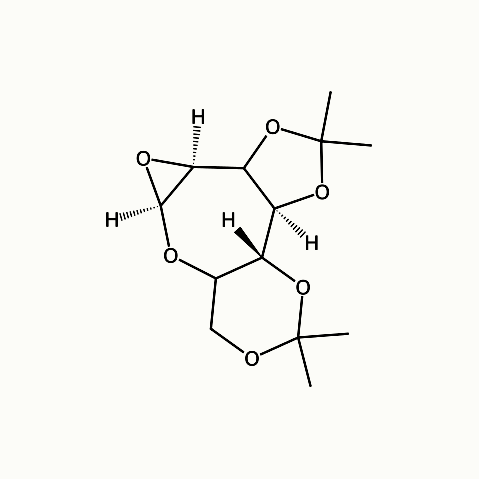 CC1(C)OCC2O[C@H]3O[C@H]3C3OC(C)(C)O[C@H]3[C@@H]2O1